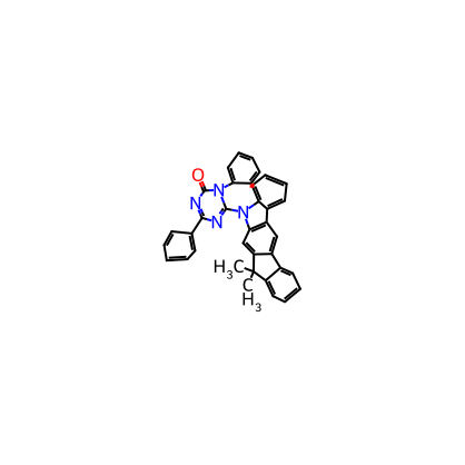 CC1(C)c2ccccc2-c2cc3c4ccccc4n(-c4nc(-c5ccccc5)nc(=O)n4-c4ccccc4)c3cc21